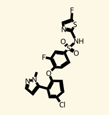 Cn1nccc1-c1cc(Cl)ccc1Oc1ccc(S(=O)(=O)Nc2ncc(F)s2)cc1F